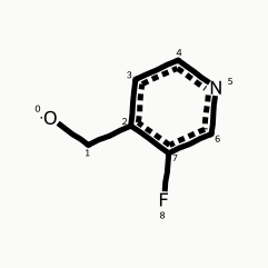 [O]Cc1ccncc1F